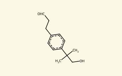 CC(C)(CO)c1ccc(CCC=O)cc1